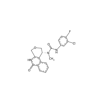 CN(C(=O)Nc1ccc(F)c(Cl)c1)[C@H]1COCc2[nH]c(=O)c3ccccc3c21